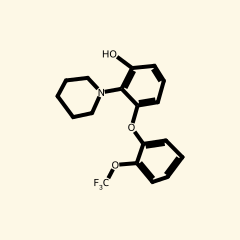 Oc1cccc(Oc2ccccc2OC(F)(F)F)c1N1CCCCC1